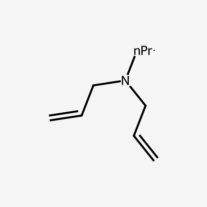 C=CCN([CH]CC)CC=C